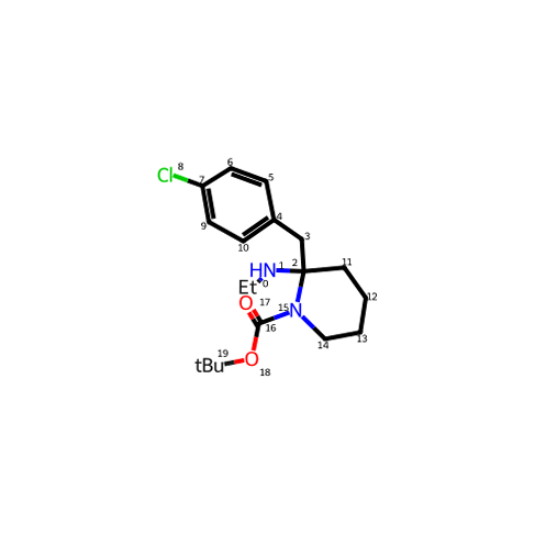 CCNC1(Cc2ccc(Cl)cc2)CCCCN1C(=O)OC(C)(C)C